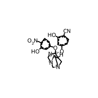 N#Cc1ccc(O[C@]2(Oc3ccc([N+](=O)[O-])c(O)c3)[C@H]3C[N@]4C[N@](C3)C[N@]2C4)cc1O